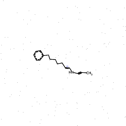 CC#CN/C=C/CCCCCc1ccccc1